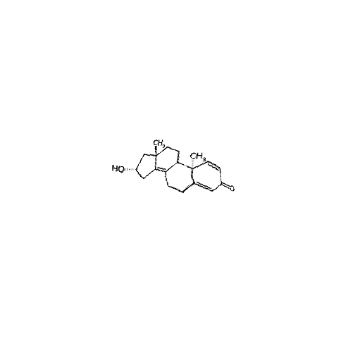 C[C@@]12CCC3C(=C1C[C@H](O)C2)CCC1=CC(=O)C=C[C@@]13C